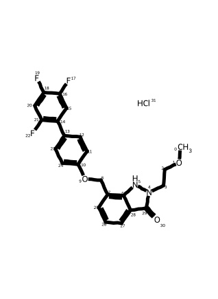 COCCn1[nH]c2c(COc3ccc(-c4cc(F)c(F)cc4F)cc3)cccc2c1=O.Cl